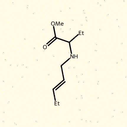 CCC=CCNC(CC)C(=O)OC